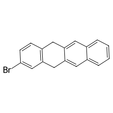 Brc1ccc2c(c1)Cc1cc3ccccc3cc1C2